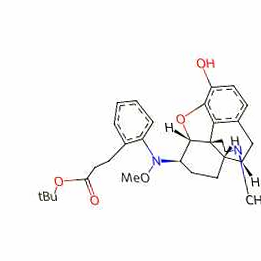 CON(c1ccccc1CCC(=O)OC(C)(C)C)[C@@H]1CC[C@H]2[C@H]3Cc4ccc(O)c5c4[C@@]2(CCN3C)[C@H]1O5